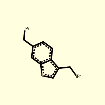 CC(C)Cc1ccc2c(CC(C)C)csc2c1